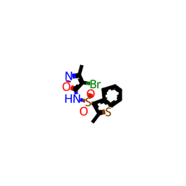 Cc1noc(NS(=O)(=O)c2c(C)sc3ccccc23)c1Br